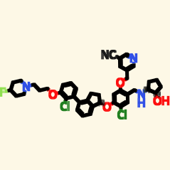 N#Cc1cncc(COc2cc(O[C@H]3CCc4c(-c5cccc(OCCCN6CCC(F)CC6)c5Cl)cccc43)c(Cl)cc2CN[C@@H]2CCC[C@H]2O)c1